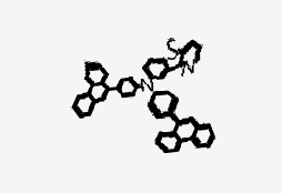 c1ccc2c(c1)cc(-c1ccc(N(c3ccc(-c4cc5ccccc5c5ccccc45)cc3)c3ccc4sc5cccnc5c4c3)cc1)c1ccccc12